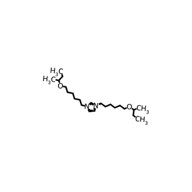 CCC(C)OCCCCCCn1cc[n+](CCCCCCOC(C)CC)c1